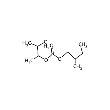 CCC(C)COC(=O)OC(C)C(C)C